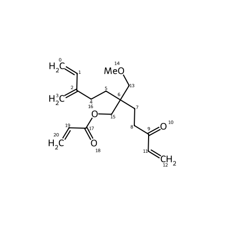 C=CC(=C)CCC(CCC(=O)C=C)(COC)COC(=O)C=C